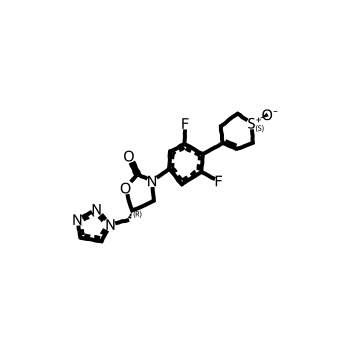 O=C1O[C@@H](Cn2ccnn2)CN1c1cc(F)c(C2=CC[S@+]([O-])CC2)c(F)c1